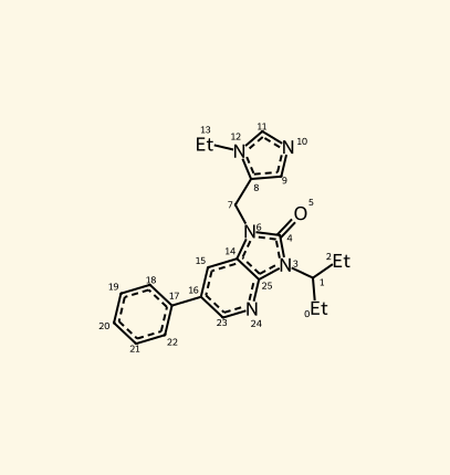 CCC(CC)n1c(=O)n(Cc2cncn2CC)c2cc(-c3ccccc3)cnc21